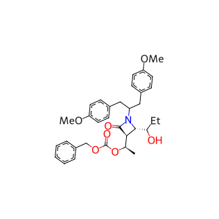 CCC(O)[C@@H]1[C@@H]([C@@H](C)OC(=O)OCc2ccccc2)C(=O)N1C(Cc1ccc(OC)cc1)Cc1ccc(OC)cc1